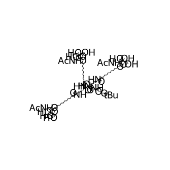 CC(=O)NC1C(OCCCCCCCCCCCC(=O)NCCCCC(NC(=O)CCCCCCCCCCCOC2OC(CO)C(O)C(O)C2NC(C)=O)C(=O)NC(CCCCNC(=O)CCCCCCCCCCCOC2OC(CO)C(O)C(O)C2NC(C)=O)C(=O)NCCOCCOC(C)(C)C)OC(CO)C(O)C1O